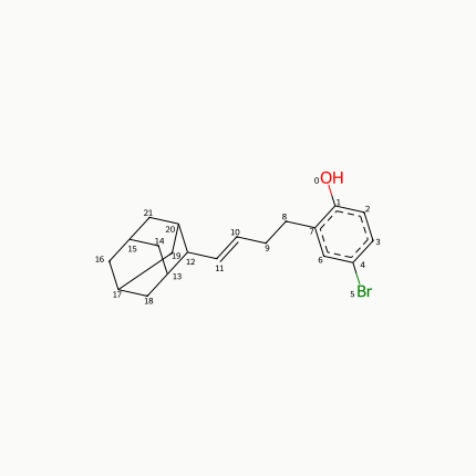 Oc1ccc(Br)cc1CC/C=C/C1C2CC3CC(C2)CC1C3